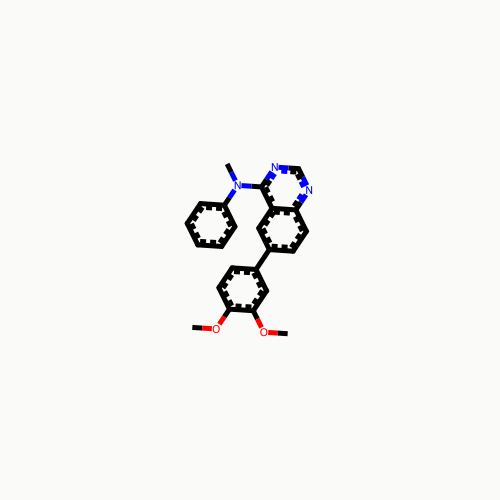 COc1ccc(-c2ccc3ncnc(N(C)c4ccccc4)c3c2)cc1OC